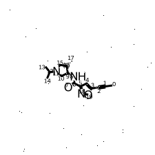 CC#Cc1cc(C(=O)NC2CN(C(C)C)C[C@@H]2C)no1